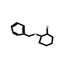 [N]C1CCCCC1OCc1ccccc1